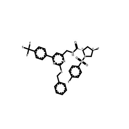 O=C(NCc1cc(-c2ccc(C(F)(F)F)cc2)nc(SCc2ccccc2)n1)[C@@H]1C[C@@H](F)CN1S(=O)(=O)c1ccc(F)cc1